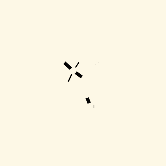 O=S(=O)([O-])[O-].[O]=[AlH].[Zn+2]